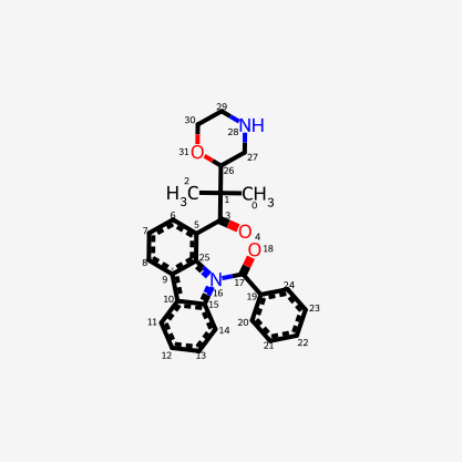 CC(C)(C(=O)c1cccc2c3ccccc3n(C(=O)c3ccccc3)c12)C1CNCCO1